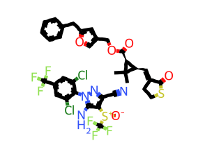 CC1(C)[C@H](/C=C2\CCSC2=O)[C@@H]1C(=O)OCc1coc(Cc2ccccc2)c1.N#Cc1nn(-c2c(Cl)cc(C(F)(F)F)cc2Cl)c(N)c1[S+]([O-])C(F)(F)F